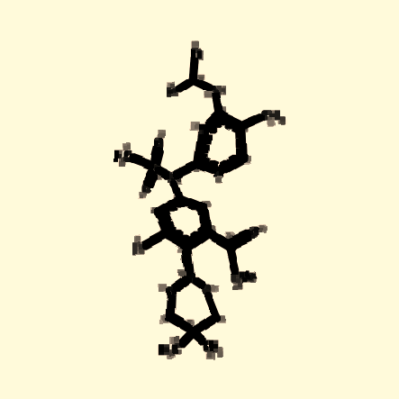 CCc1cc(N(c2ncc(C)c(NC(CC)CC)n2)S(=O)(=O)C(F)(F)F)cc(C(=O)OC)c1B1OCC(C)(C)CO1